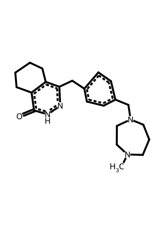 CN1CCCN(Cc2ccc(Cc3n[nH]c(=O)c4c3CCCC4)cc2)CC1